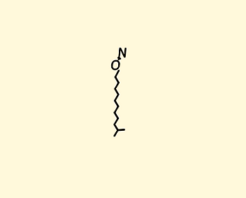 CC(C)CCCCCCCCCCOC#N